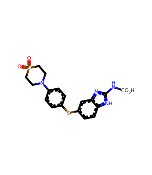 O=C(O)Nc1nc2cc(Sc3ccc(N4CCS(=O)(=O)CC4)cc3)ccc2[nH]1